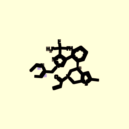 C=CC(=O)N1Cc2sc(C)cc2[C@H](c2ccccc2-c2cn(CC(=C/C)/N=C\C)nc2C(F)(P)P)C1